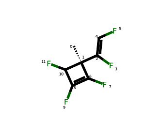 C[C@]1(/C(F)=C/F)C(F)=C(F)C1F